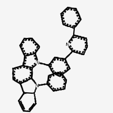 C1=CC2c3ccc4c5ccccc5n(-c5cccc(-c6cccc(-c7ccccc7)n6)c5)c4c3N(c3ccccc3)C2C=C1